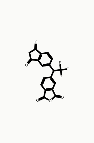 O=C1CC(=O)c2cc(C(c3ccc4c(c3)C(=O)OC4=O)C(F)(F)F)ccc21